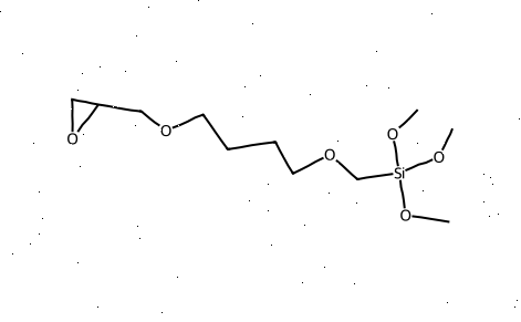 CO[Si](COCCCCOCC1CO1)(OC)OC